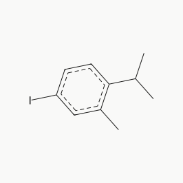 Cc1cc(I)ccc1C(C)C